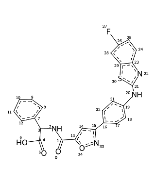 O=C(NC(C(=O)O)c1ccccc1)c1cc(-c2ccc(Nc3nc4ccc(F)cc4s3)cc2)no1